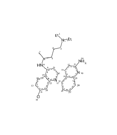 CCN(CC)CCCC(C)Nc1ccnc2cc(Cl)ccc12.Nc1ccc2ccccc2n1